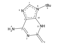 C=C1N=C(N)c2ncn(C(C)(C)C)c2N1